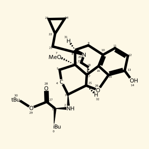 CC[C@H](C)[C@H](N[C@H]1CC[C@@]2(OC)[C@H]3Cc4ccc(O)c5c4[C@@]2(CCN3CC2CC2)[C@H]1O5)C(=O)OC(C)(C)C